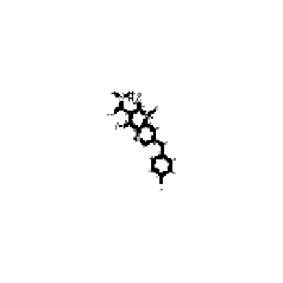 CN(N)C(=O)c1c(O)c2ncc(Cc3ccc(F)cc3)cc2n(C)c1=O